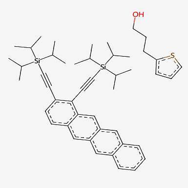 CC(C)[Si](C#Cc1ccc2cc3cc4ccccc4cc3cc2c1C#C[Si](C(C)C)(C(C)C)C(C)C)(C(C)C)C(C)C.OCCCc1cccs1